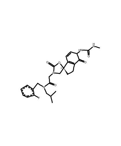 CNC(=O)NC1C=CC2=C(CC[C@]23CN(CC(=O)N(Cc2ccccc2F)CC(C)C)C(=O)O3)C1=O